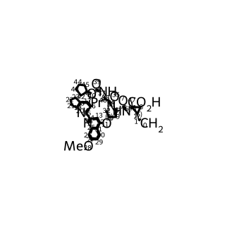 C=C[C@@H]1C[C@]1(NC(=O)[C@@H]1C[C@@H](Oc2cc(-c3ccc4c(n3)CCC4)nc3cc(OC)ccc23)CN1C(=O)[C@@H](NC(=O)OC1CCCC1)C(C)C)C(=O)O